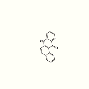 O=c1c2ccccc2[nH]c2ccc3ccccc3c12